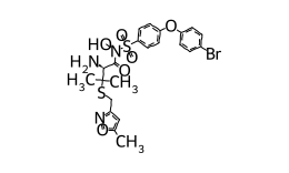 Cc1cc(CSC(C)(C)[C@@H](N)C(=O)N(O)S(=O)(=O)c2ccc(Oc3ccc(Br)cc3)cc2)no1